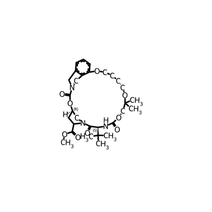 COC(=O)C1C[C@@H]2CN1C(=O)[C@H](C(C)(C)C)NC(=O)OCC(C)(C)OCCCCOc1cccc3c1CN(C3)C(=O)O2